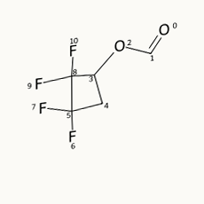 O=COC1CC(F)(F)C1(F)F